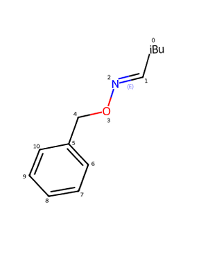 CCC(C)/C=N/OCc1ccccc1